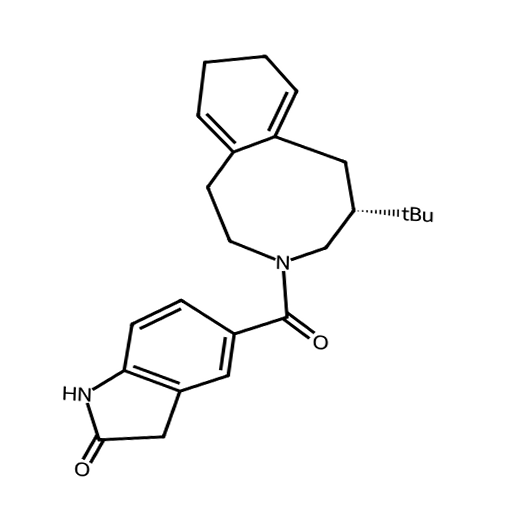 CC(C)(C)[C@H]1CC2=CCCC=C2CCN(C(=O)c2ccc3c(c2)CC(=O)N3)C1